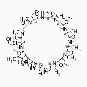 CC[C@@H]1NC(=O)[C@H]([C@H](O)[C@H](C)CCCCO)N(C)C(=O)[C@H](C(C)C)N(C)C(=O)[C@H](CC(C)C)N(C)C(=O)[C@H](CC(C)C)N(C)C(=O)[C@H](C)NC(=O)[C@@H](C)NC(=O)[C@@H](CC(C)C)N(C)C(=O)[C@@H](C(C)C)NC(=O)[C@H](CC(C)C)N(C)C(=O)CN(C)C1=O